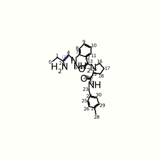 CC/C(N)=C/N(N)c1ccccc1C(=O)N1CCCC1C(=O)NCc1ccc(C)cc1